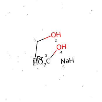 CCCCO.O=C(O)O.[NaH]